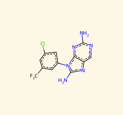 Nc1ncc2nc(N)n(-c3cc(Cl)cc(C(F)(F)F)c3)c2n1